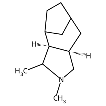 CC1[C@H]2C3CCC(C3)C[C@H]2CN1C